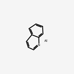 [Al].c1ccc2ncccc2c1